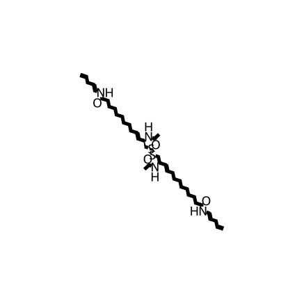 C=CC/C=C/NC(=O)CCCCCCCC/C=C/C(CSSC[C@@H](/C=C/CCCCCCCCC(=O)N/C=C/CC=C)NC(C)=O)NC(C)=O